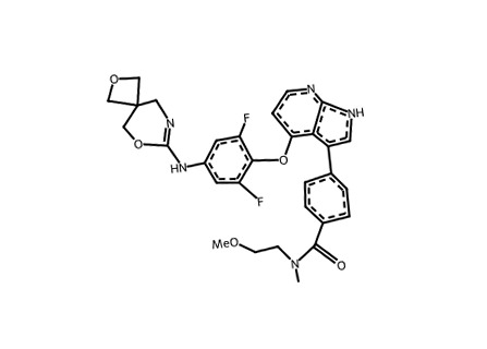 COCCN(C)C(=O)c1ccc(-c2c[nH]c3nccc(Oc4c(F)cc(NC5=NCC6(COC6)CO5)cc4F)c23)cc1